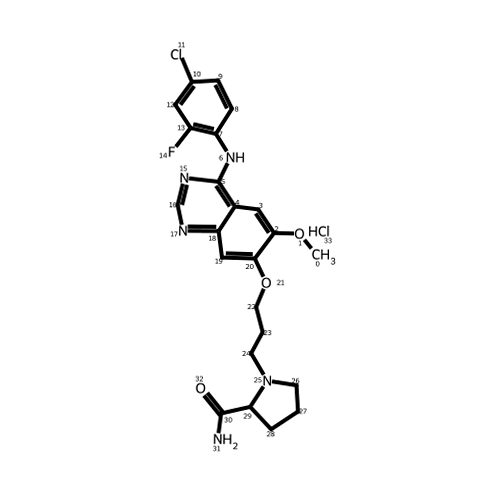 COc1cc2c(Nc3ccc(Cl)cc3F)ncnc2cc1OCCCN1CCCC1C(N)=O.Cl